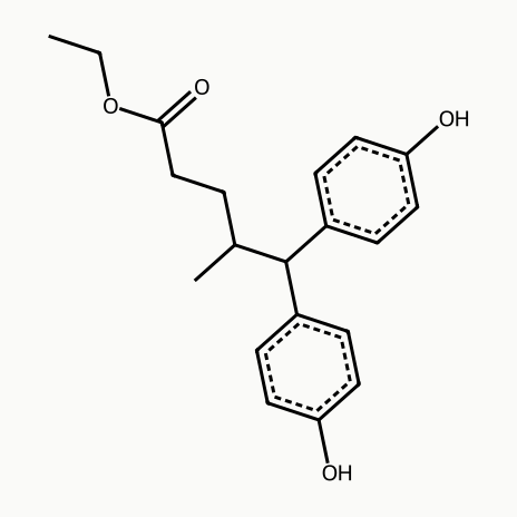 CCOC(=O)CCC(C)C(c1ccc(O)cc1)c1ccc(O)cc1